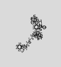 C[C@H](CNCCSCCCNC[C@H](OC(=O)C(F)(F)F)c1ccc(OC(=O)C(F)(F)F)c2[nH]c(=O)sc12)c1ccccc1